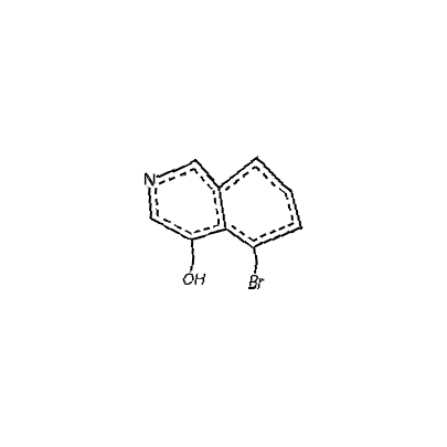 Oc1cncc2cccc(Br)c12